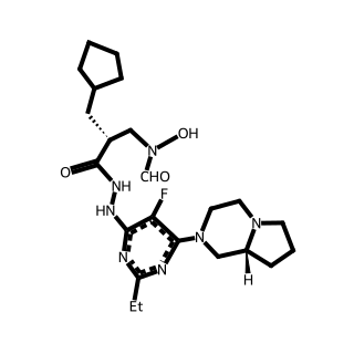 CCc1nc(NNC(=O)[C@H](CC2CCCC2)CN(O)C=O)c(F)c(N2CCN3CCC[C@@H]3C2)n1